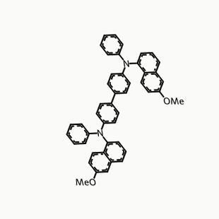 COc1ccc2c(N(c3ccccc3)c3ccc(-c4ccc(N(c5ccccc5)c5cccc6cc(OC)ccc56)cc4)cc3)cccc2c1